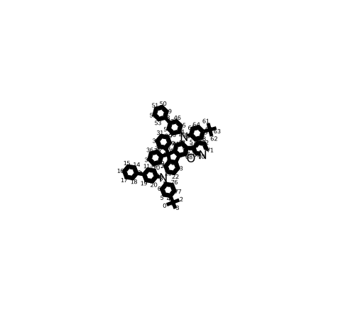 CC(C)(C)c1ccc(N(c2ccc(-c3ccccc3)cc2)c2ccc3c(c2)C(c2ccccc2)(c2ccccc2)c2cc(N(c4ccc(-c5ccccc5)cc4)c4ccc(C(C)(C)C)cc4)c4c(oc5ncccc54)c2-3)cc1